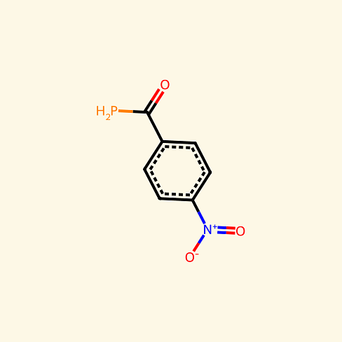 O=C(P)c1ccc([N+](=O)[O-])cc1